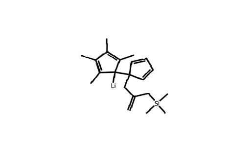 [Li][C]1(C2(CC(=C)C[Si](C)(C)C)C=CC=C2)C(C)=C(C)C(C)=C1C